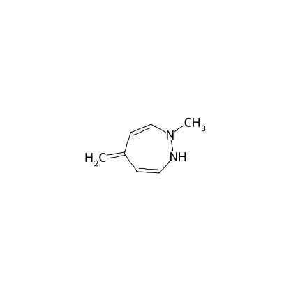 C=C1C=CNN(C)C=C1